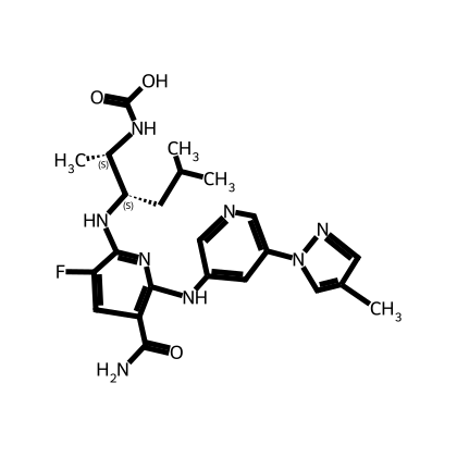 Cc1cnn(-c2cncc(Nc3nc(N[C@@H](CC(C)C)[C@H](C)NC(=O)O)c(F)cc3C(N)=O)c2)c1